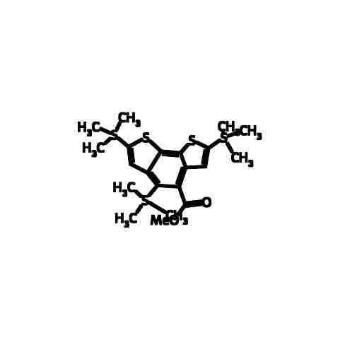 COC(=O)c1c(S(C)(C)C)c2cc(S(C)(C)C)sc2c2sc(S(C)(C)C)cc12